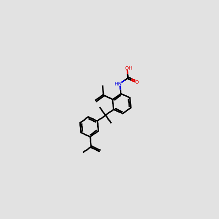 C=C(C)c1cccc(C(C)(C)c2cccc(NC(=O)O)c2C(=C)C)c1